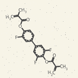 C=C(C)C(=O)Oc1ccc(-c2cc(F)c(OC(=O)C(=C)C)c(F)c2)cc1F